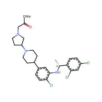 COC(=O)CN1CCC(N2CCC(c3ccc(Cl)c(N[C@H](C)c4ccc(Cl)cc4Cl)c3)CC2)C1